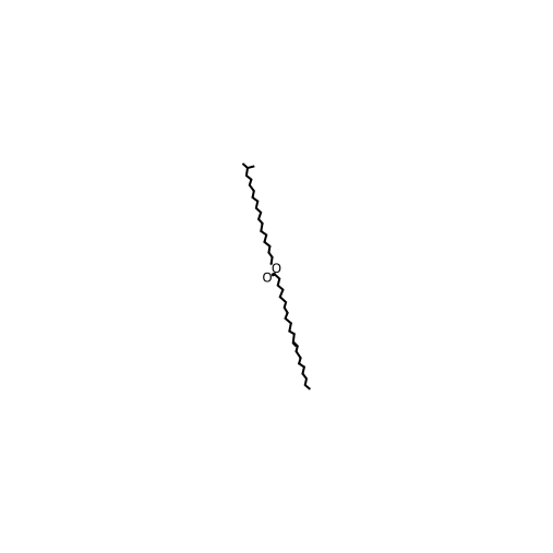 CCCCCCCCC=CCCCCCCCCCCCC(=O)OCCCCCCCCCCCCCCCCCC(C)C